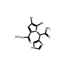 Cl.NC(=O)C(c1c[nH]cn1)n1c(C(=O)O)cc(Br)c1Br